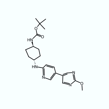 COc1ncc(-c2ccc(N[C@H]3CC[C@H](NC(=O)OC(C)(C)C)CC3)nc2)cn1